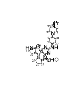 CC(C)N1CCN(c2ccc(Nc3ncc(CC4CCNC4=O)c(N(C=O)C4CCCC4)n3)cc2)CC1